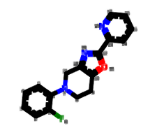 Fc1ccccc1N1CCc2oc(-c3ccccn3)nc2C1